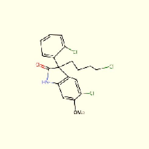 COc1cc2c(cc1Cl)C(CCCCCl)(c1ccccc1Cl)C(=O)N2